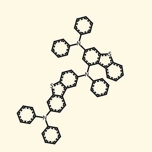 c1ccc(N(c2ccccc2)c2ccc3c(c2)sc2ccc(N(c4ccccc4)c4cc(N(c5ccccc5)c5ccccc5)cc5sc6ccccc6c45)cc23)cc1